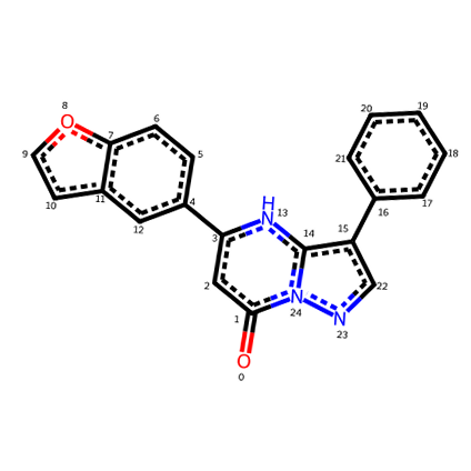 O=c1cc(-c2ccc3occc3c2)[nH]c2c(-c3ccccc3)cnn12